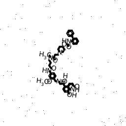 COc1cc(NC(=O)CCCN(C)C(=O)CCN2CCC(OC(=O)Nc3ccccc3-c3ccccc3)CC2)ccc1CNC[C@@H](O)c1ccc(O)c2[nH]c(=O)ccc12